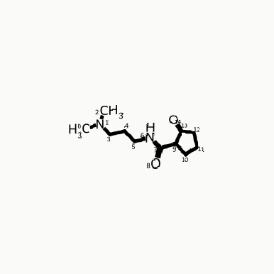 CN(C)CCCNC(=O)C1CCCC1=O